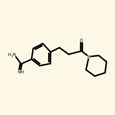 N=C(N)c1ccc(C[CH]C(=O)N2CCCCC2)cc1